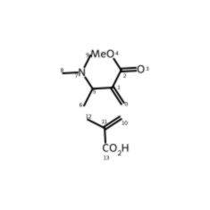 C=C(C(=O)OC)C(C)N(C)C.C=C(C)C(=O)O